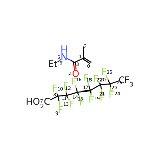 C=C(C)C(=O)NCC.O=C(O)C(F)(F)C(F)(F)C(F)(F)C(F)(F)C(F)(F)C(F)(F)C(F)(F)F